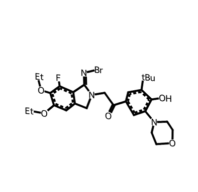 CCOc1cc2c(c(F)c1OCC)/C(=N/Br)N(CC(=O)c1cc(N3CCOCC3)c(O)c(C(C)(C)C)c1)C2